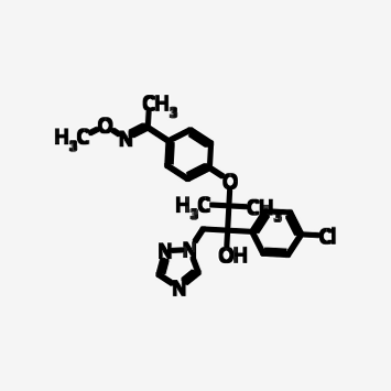 CON=C(C)c1ccc(OC(C)(C)C(O)(Cn2cncn2)c2ccc(Cl)cc2)cc1